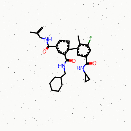 C=C(C)CNC(=O)c1ccc(-c2cc(C(=O)NC3CC3)cc(F)c2C)c(C(=O)NCC2CCCCC2)c1